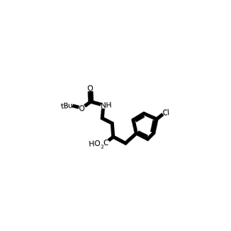 CC(C)(C)OC(=O)NCCC(Cc1ccc(Cl)cc1)C(=O)O